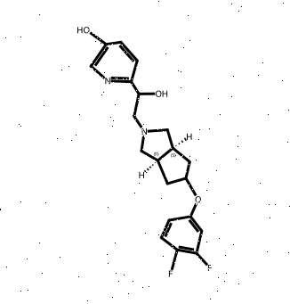 Oc1ccc(C(O)CN2C[C@H]3CC(Oc4ccc(F)c(F)c4)C[C@H]3C2)nc1